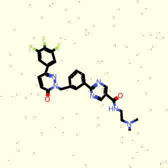 CN(C)CCNC(=O)c1cnc(-c2cccc(Cn3nc(-c4cc(F)c(F)c(F)c4)ccc3=O)c2)nc1